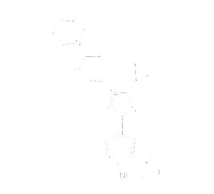 Nc1ncc(-c2cn(C3CCC(N4CCOCC4)CC3)c(C3CC3)n2)cc1C(F)(F)F